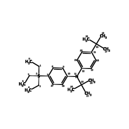 CCS(CC)(CC)c1ccc(N(c2ccc(C(C)(C)C)cc2)C(C)(C)C)cc1